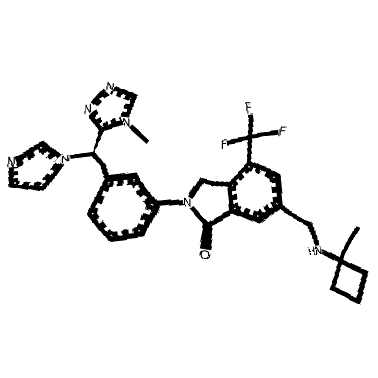 Cn1cnnc1[C@@H](c1cccc(N2Cc3c(cc(CNC4(C)CCC4)cc3C(F)(F)F)C2=O)c1)n1ccnc1